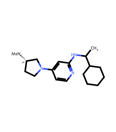 CN[C@H]1CCN(c2ccnc(NC(C)C3CCCCC3)c2)C1